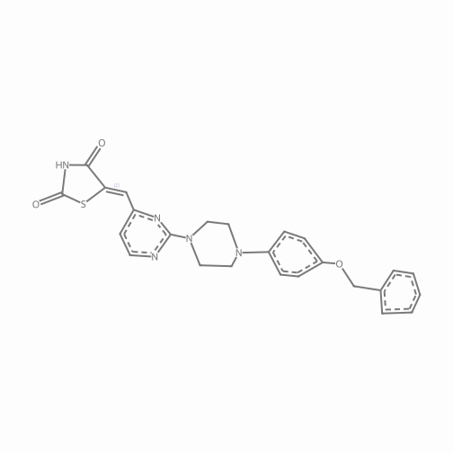 O=C1NC(=O)/C(=C/c2ccnc(N3CCN(c4ccc(OCc5ccccc5)cc4)CC3)n2)S1